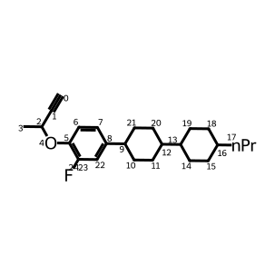 C#CC(C)Oc1ccc(C2CCC(C3CCC(CCC)CC3)CC2)cc1F